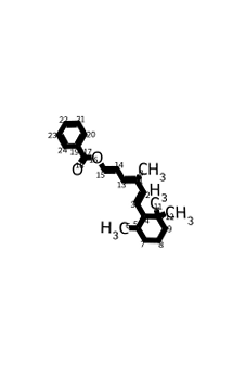 CC(C=CC1C(C)CCCC1(C)C)=CC=COC(=O)c1ccccc1